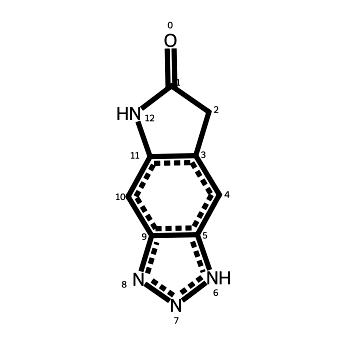 O=C1Cc2cc3[nH]nnc3cc2N1